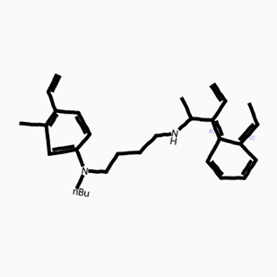 C=C/C(=c1/cccc/c1=C/C)C(C)NCCCCN(CCCC)c1ccc(C=C)c(C)c1